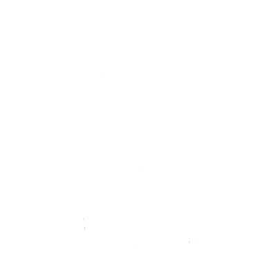 O=C1C=C(O)CC(c2ccc3ccccc3c2)C1